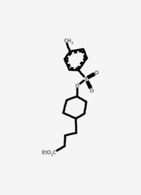 CCOC(=O)CCCC1CCC(OS(=O)(=O)c2ccc(C)cc2)CC1